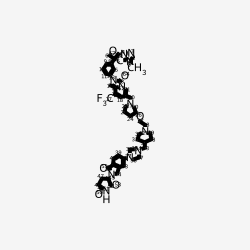 Cn1cnnc1CC1(c2cccc(-n3cc4c(C(F)(F)F)cc(CN5CCC[C@H](OCCN6CCC(CN7CCN(c8ccc9c(c8)CN([C@H]8CCC(=O)NC8=O)C9=O)CC7)CC6)C5)cn4c3=O)c2)COC1